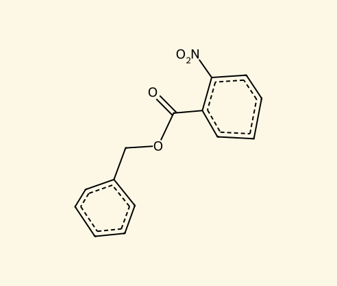 O=C(OCc1ccccc1)c1ccccc1[N+](=O)[O-]